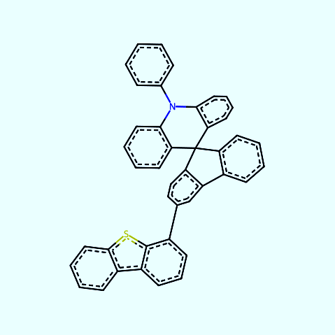 c1ccc(N2c3ccccc3C3(c4ccccc4-c4cc(-c5cccc6c5sc5ccccc56)ccc43)c3ccccc32)cc1